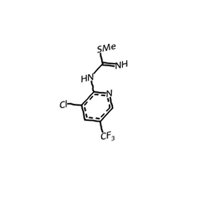 CSC(=N)Nc1ncc(C(F)(F)F)cc1Cl